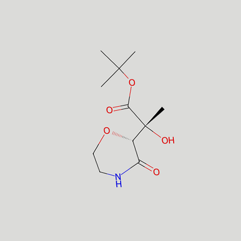 CC(C)(C)OC(=O)[C@](C)(O)[C@H]1OCCNC1=O